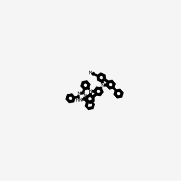 N#Cc1ccc2c3ccc(-c4ccccc4)cc3n(-c3ccc4c5ccccc5n(-c5ccccc5C5=NC(c6ccccc6)NC(C6=CC=CCC6)=N5)c4c3)c2c1